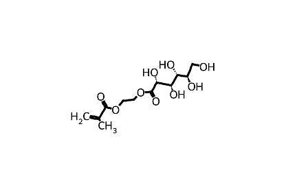 C=C(C)C(=O)OCCOC(=O)[C@H](O)[C@@H](O)[C@H](O)[C@H](O)CO